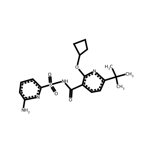 CC(C)(C)c1ccc(C(=O)NS(=O)(=O)c2cccc(N)n2)c(OC2CCC2)n1